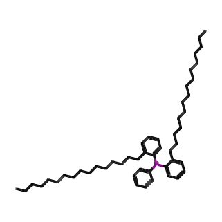 CCCCCCCCCCCCCCCCc1ccccc1P(c1ccccc1)c1ccccc1CCCCCCCCCCCCCCCC